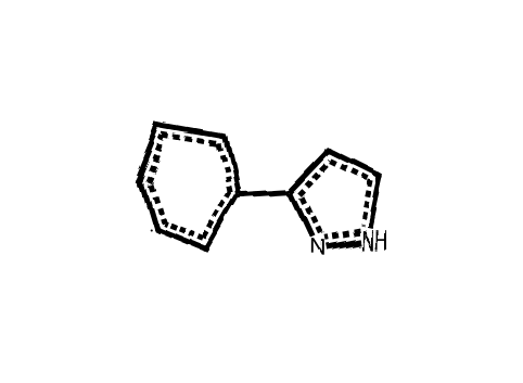 [c]1cccc(-c2cc[nH]n2)c1